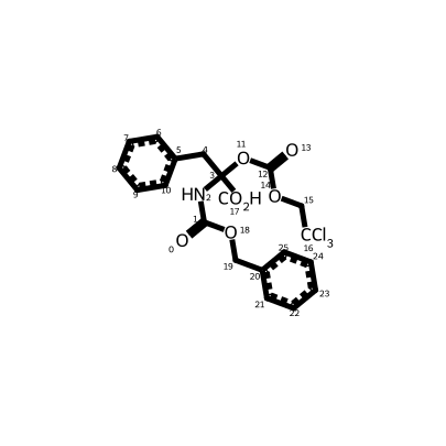 O=C(NC(Cc1ccccc1)(OC(=O)OCC(Cl)(Cl)Cl)C(=O)O)OCc1ccccc1